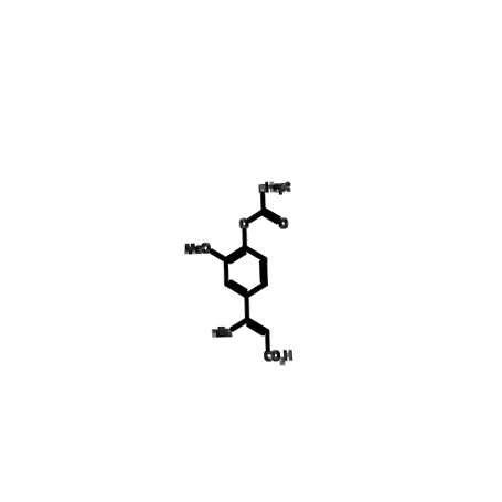 CCCCCCCC(=O)Oc1ccc(C(=CC(=O)O)CCCC)cc1OC